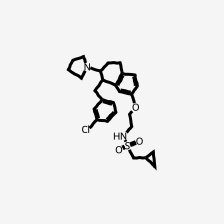 O=S(=O)(CC1CC1)NCCOc1ccc2c(c1)C(Cc1cccc(Cl)c1)C(N1CCCC1)CC2